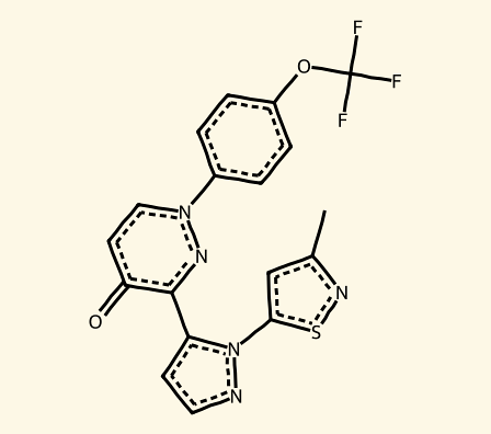 Cc1cc(-n2nccc2-c2nn(-c3ccc(OC(F)(F)F)cc3)ccc2=O)sn1